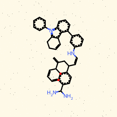 C=C(CC(/C=C\Nc1cccc(-c2cccc3c2c2c(n3-c3ccccc3)CCC=C2)c1)c1ccc(C(N)N)cc1)C1C=CC=CC1